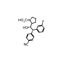 N#Cc1ccc([C@H](c2cccc(F)c2)[C@@H](O)C2CCCN2C(=O)O)cc1